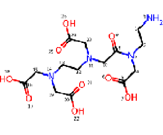 NCCN(CC(=O)O)C(=O)CN(CCN(CC(=O)O)CC(=O)O)CC(=O)O